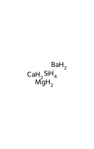 [BaH2].[CaH2].[MgH2].[SiH4]